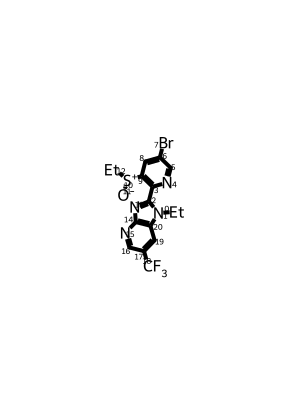 CCn1c(-c2ncc(Br)cc2[S+]([O-])CC)nc2ncc(C(F)(F)F)cc21